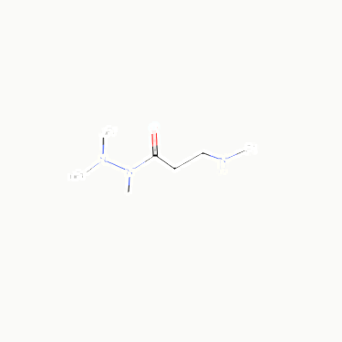 CCCN(CCC)N(C)C(=O)CCNCC